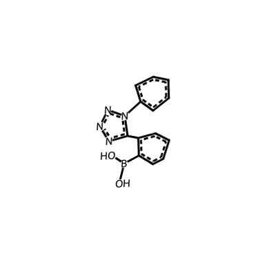 OB(O)c1ccccc1-c1nnnn1-c1ccccc1